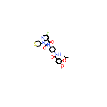 COc1ccc(C(=O)NC2CCC(n3c(=O)c4cc(F)cnc4n(C4CCSCC4)c3=O)CC2)cc1OC(C)C